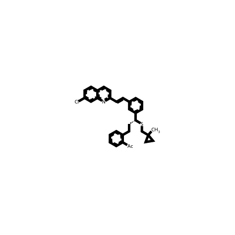 CC(=O)c1ccccc1CC[C@@H](SCC1(C)CC1)c1cccc(/C=C/c2ccc3ccc(Cl)cc3n2)c1